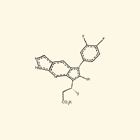 CC(C)c1c([C@H](F)CC(=O)O)c2nc3[nH]ncc3cc2n1-c1ccc(F)c(F)c1